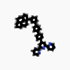 c1ccc(-c2cc(-c3ccc(-c4ccc(-c5cccc(-c6ccc7ccc8cccc9ccc6c7c89)c5)cc4)cc3)cc(-c3ccccn3)n2)nc1